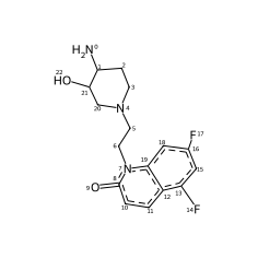 NC1CCN(CCn2c(=O)ccc3c(F)cc(F)cc32)CC1O